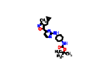 Cc1noc(-c2ccnc(N[C@H]3CC[C@H](NC(=O)OC(C)(C)C)CC3)n2)c1CC1CC1